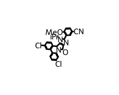 COc1ccc(C#N)cc1-c1nc2c(n1C(C)C)C1c3ccc(Cl)cc3-c3ccc(Cl)cc3N1C2=O